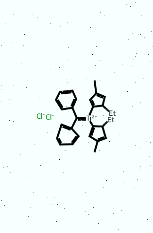 CCC1C=C(C)C=[C]1[Ti+2]([C]1=CC(C)=CC1CC)=[C](c1ccccc1)c1ccccc1.[Cl-].[Cl-]